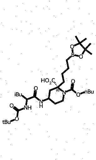 CCCCOC(=O)N1CCC(NC(=O)C(NC(=O)OC(C)(C)C)C(C)CC)C[C@]1(CCCCB1OC(C)(C)C(C)(C)O1)C(=O)O